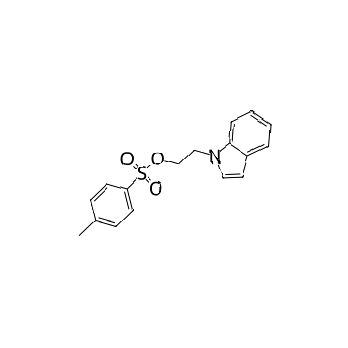 Cc1ccc(S(=O)(=O)OCCn2ccc3ccccc32)cc1